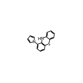 c1ccc2c(c1)Nc1c(cccc1-n1cccc1)S2